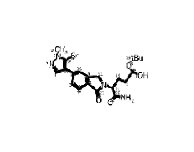 Cn1ncc(-c2ccc3c(c2)CN(C(CCC(O)OC(C)(C)C)C(N)=O)C3=O)c1Br